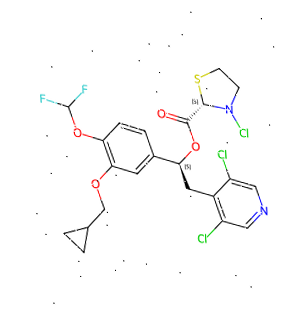 O=C(O[C@@H](Cc1c(Cl)cncc1Cl)c1ccc(OC(F)F)c(OCC2CC2)c1)[C@@H]1SCCN1Cl